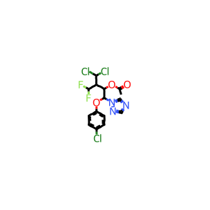 CC(=O)OC(C(C(F)F)C(Cl)Cl)C(Oc1ccc(Cl)cc1)n1cncn1